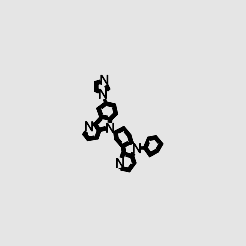 c1ccc(-n2c3ccc(-n4c5ccc(-n6ccnc6)cc5c5ncccc54)cc3c3ncccc32)cc1